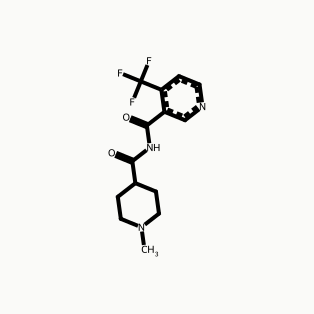 CN1CCC(C(=O)NC(=O)c2cnccc2C(F)(F)F)CC1